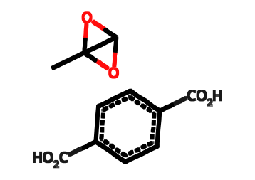 CC12OC1O2.O=C(O)c1ccc(C(=O)O)cc1